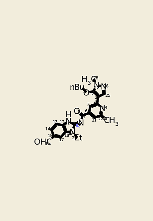 CCCCOc1c(-c2cc(C(=O)/N=c3\[nH]c4ccc(C=O)cc4n3CC)cc(C)n2)cnn1C